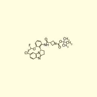 CC(C)(C)OC(=O)N1CC(C(=O)Nc2cccc(OC(F)F)c2[C@H]2CCc3nc4ccc(Cl)cc4n32)C1